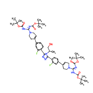 CC(CO)n1c(-c2ccc(C3=CCN(/C(=N\C(=O)OC(C)(C)C)NC(=O)OC(C)(C)C)CC3)cc2F)nnc1-c1ccc(C2=CCN(/C(=N\C(=O)OC(C)(C)C)NC(=O)OC(C)(C)C)CC2)cc1F